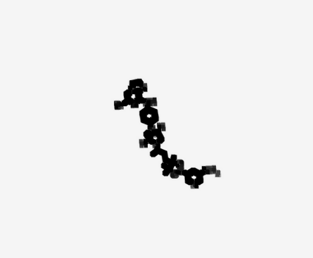 CC(CCC1(C)OB(c2cncc(N)c2)OC1(C)C)N1C[C@H]2C[C@@H]1CN2c1ccc(Nc2nc(Br)cn3ccnc23)cc1